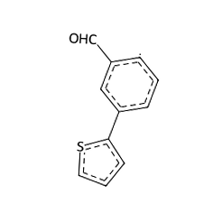 O=Cc1[c]ccc(-c2cccs2)c1